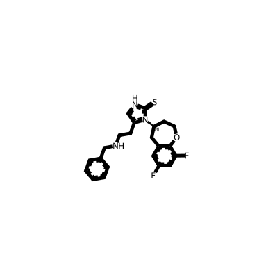 Fc1cc(F)c2c(c1)C[C@@H](n1c(CCNCc3ccccc3)c[nH]c1=S)CCO2